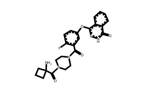 NC1(C(=O)N2CCN(C(=O)c3cc(Oc4n[nH]c(=O)c5ccccc45)ccc3F)CC2)CCC1